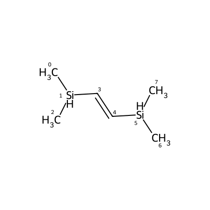 C[SiH](C)C=C[SiH](C)C